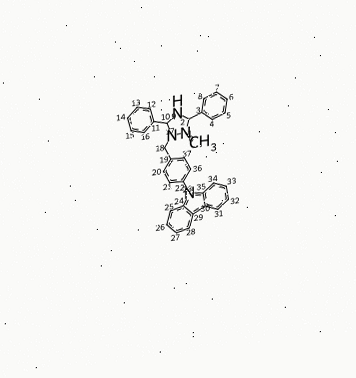 CN1C(c2ccccc2)NC(c2ccccc2)N1Cc1ccc(-n2c3ccccc3c3ccccc32)cc1